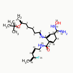 C=C(CCCC/C=N/C1=CC(C(N)NO)CC=C1C(=O)NC/C=C\C(F)=C/C)OC(C)(C)C